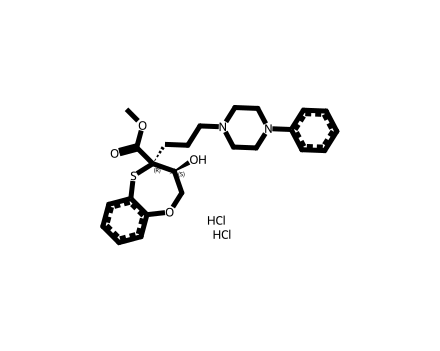 COC(=O)[C@]1(CCCN2CCN(c3ccccc3)CC2)Sc2ccccc2OC[C@@H]1O.Cl.Cl